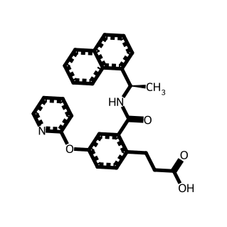 C[C@@H](NC(=O)c1cc(Oc2ccccn2)ccc1CCC(=O)O)c1cccc2ccccc12